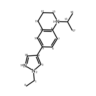 CCn1cc(-c2ccc3c(c2)CCCN3C(C)C)cn1